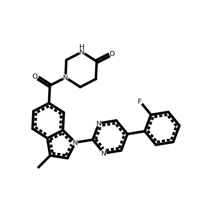 Cc1cn(-c2ncc(-c3ccccc3F)cn2)c2cc(C(=O)N3CCC(=O)NC3)ccc12